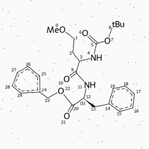 COCCC(NC(=O)OC(C)(C)C)C(=O)N[C@@H](Cc1ccccc1)C(=O)OCc1ccccc1